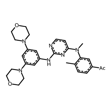 CC(=O)c1ccc(C)c(N(C)c2ccnc(Nc3cc(N4CCOCC4)cc(N4CCOCC4)c3)n2)c1